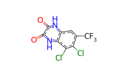 O=c1[nH]c2cc(C(F)(F)F)c(Cl)c(Cl)c2[nH]c1=O